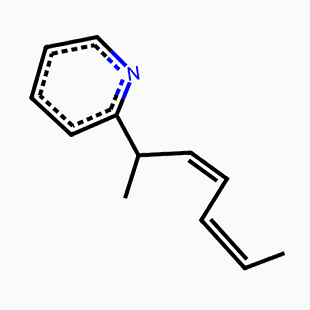 C/C=C\C=C/C(C)c1ccccn1